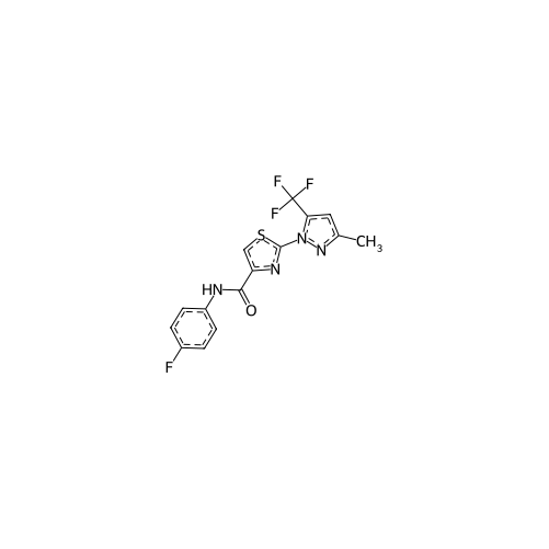 Cc1cc(C(F)(F)F)n(-c2nc(C(=O)Nc3ccc(F)cc3)cs2)n1